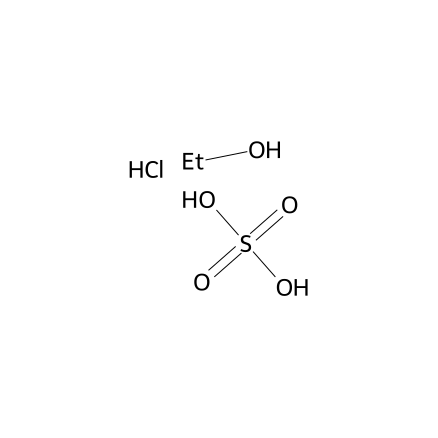 CCO.Cl.O=S(=O)(O)O